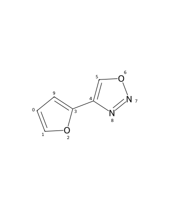 c1coc(-c2conn2)c1